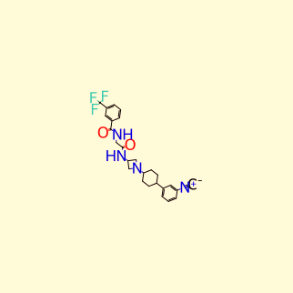 [C-]#[N+]c1cccc(C2CCC(N3CC(NC(=O)CNC(=O)c4cccc(C(F)(F)F)c4)C3)CC2)c1